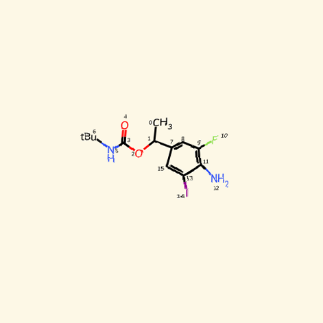 CC(OC(=O)NC(C)(C)C)c1cc(F)c(N)c(I)c1